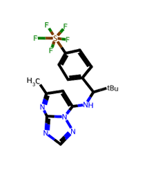 Cc1cc(NC(c2ccc(S(F)(F)(F)(F)F)cc2)C(C)(C)C)n2ncnc2n1